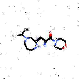 CC(C)N1CCCN/C(=C\C(=N)C(=O)N2CCOCC2)C1